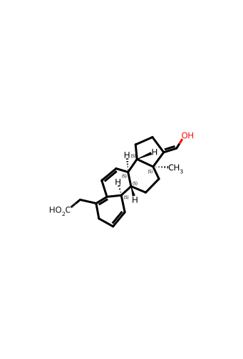 C[C@]12CC[C@H]3[C@@H](C=CC4=C(CC(=O)O)CC=C[C@@H]43)[C@@H]1CCC2=CO